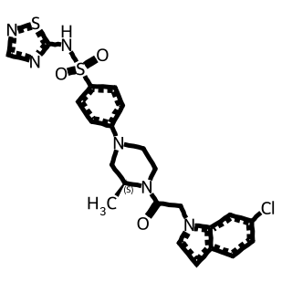 C[C@H]1CN(c2ccc(S(=O)(=O)Nc3ncns3)cc2)CCN1C(=O)Cn1ccc2ccc(Cl)cc21